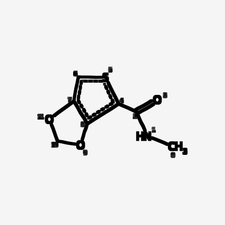 CNC(=O)c1scc2c1OCO2